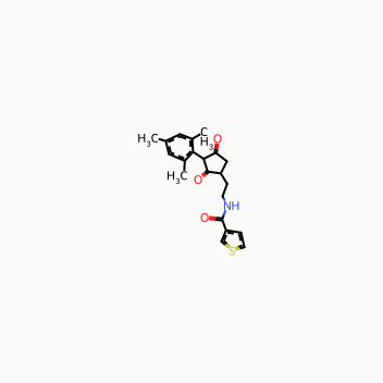 Cc1cc(C)c(C2C(=O)CC(CCNC(=O)c3ccsc3)C2=O)c(C)c1